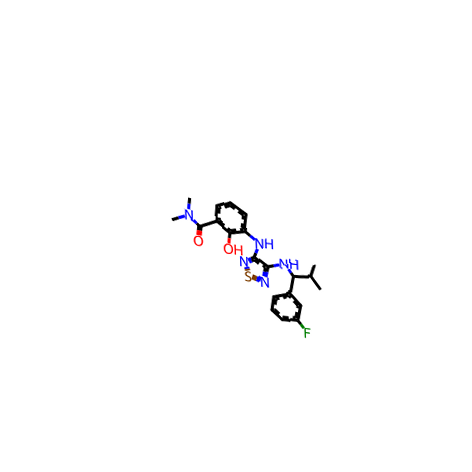 CC(C)C(Nc1nsnc1Nc1cccc(C(=O)N(C)C)c1O)c1cccc(F)c1